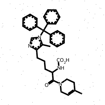 CC1=CCN(C(=O)C(CCCc2ncn(C(c3ccccc3)(c3ccccc3)c3ccccc3)c2C)NC(=O)O)CC1